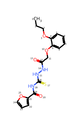 CCCOc1ccccc1OCC(=O)NNC(=S)NC(=O)c1ccco1